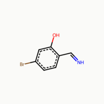 N=Cc1ccc(Br)cc1O